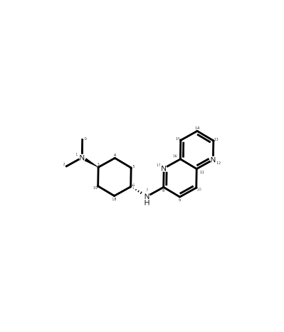 CN(C)[C@H]1CC[C@H](Nc2ccc3ncccc3n2)CC1